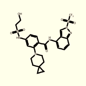 O=C(Nc1cccc2nn(S(=O)(=O)C(F)(F)F)cc12)c1ccc(NS(=O)(=O)CCO)cc1N1CCC2(CC1)CC2